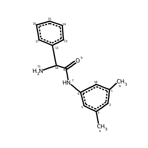 Cc1cc(C)cc(NC(=O)C(N)c2ccccc2)c1